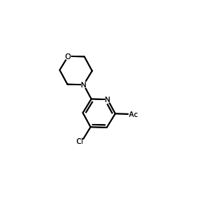 CC(=O)c1cc(Cl)cc(N2CCOCC2)n1